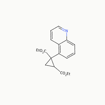 CCOC(=O)C1CC1(C(=O)OCC)c1cccc2ncccc12